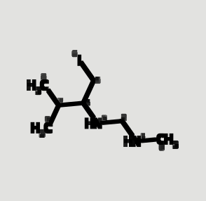 CNCNC(CI)C(C)C